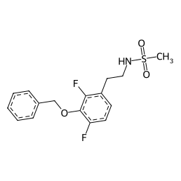 CS(=O)(=O)NCCc1ccc(F)c(OCc2ccccc2)c1F